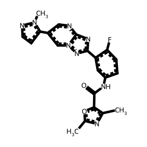 Cc1nc(C)c(C(=O)Nc2ccc(F)c(-c3nc4ncc(-c5ccnn5C)cn4n3)c2)o1